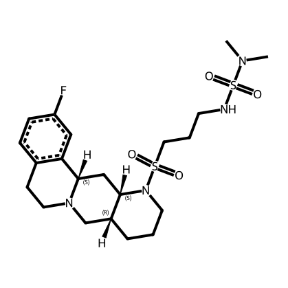 CN(C)S(=O)(=O)NCCCS(=O)(=O)N1CCC[C@@H]2CN3CCc4ccc(F)cc4[C@@H]3C[C@@H]21